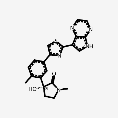 Cc1ccc(-c2csc(-c3c[nH]c4nccnc34)n2)cc1[C@]1(O)CCN(C)C1=O